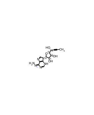 CC#C[C@@H](O)[C@H]1O[C@@H](n2cnc3/c(=N\N)nc[nH]c32)[C@H](O)[C@@H]1O